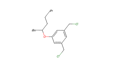 CCC(C)C(CCC(C)C)Oc1cc(CCl)cc(CCl)c1